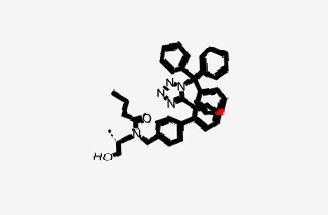 CCCC(=O)N(Cc1ccc(-c2ccccc2-c2nnnn2C(c2ccccc2)(c2ccccc2)c2ccccc2)cc1)[C@@H](C)CO